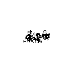 Cc1nc2c(OCc3c(F)cccc3F)cccn2c1C(=O)Nc1n[nH]c2ccc(C(F)(F)F)cc12